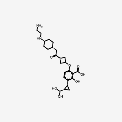 NCCN[C@H]1CC[C@@H](CC(=O)N2CC(Oc3ccc([C@H]4C[C@H]4B(O)O)c(O)c3C(=O)O)C2)CC1